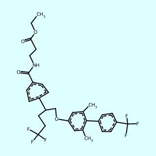 CCOC(=O)CCNC(=O)c1ccc(C(CCC(F)(F)F)COc2cc(C)c(-c3ccc(C(F)(F)F)cc3)c(C)c2)cc1